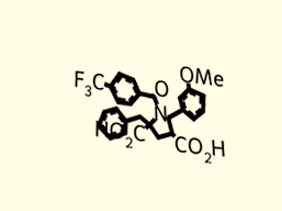 COc1cccc(C2C(C(=O)O)CC(Cc3ccccc3)(C(=O)O)N2C(=O)c2ccc(C(F)(F)F)cc2)c1